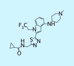 CN1CCC(Nc2cccc3c2cc(-c2nnc(CNC(=O)C4CC4)s2)n3CC(F)(F)F)CC1